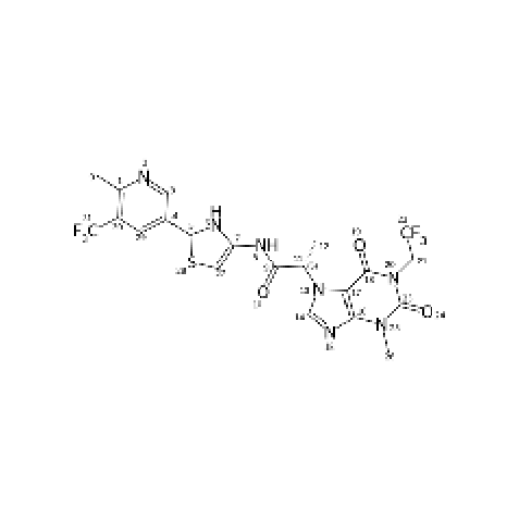 Cc1ncc(C2NC(NC(=O)[C@H](C)n3cnc4c3c(=O)n(CC(F)(F)F)c(=O)n4C)=CS2)cc1C(F)(F)F